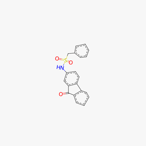 O=C1c2ccccc2-c2ccc(NS(=O)(=O)Cc3ccccc3)cc21